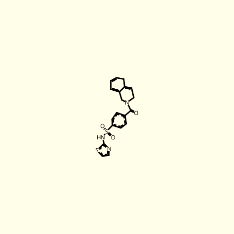 O=C(c1ccc(S(=O)(=O)Nc2nccs2)cc1)N1CC=C2CC=CC=C2C1